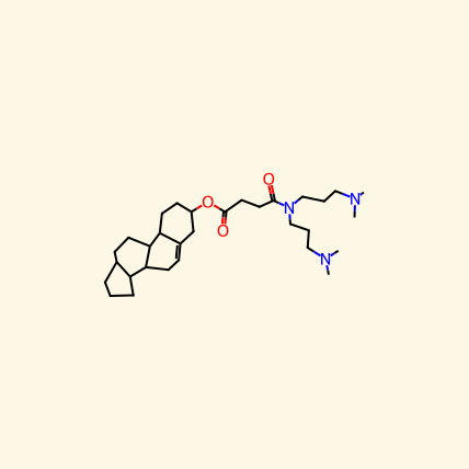 CN(C)CCCN(CCCN(C)C)C(=O)CCC(=O)OC1CCC2C(=CCC3C4CCCC4CCC23)C1